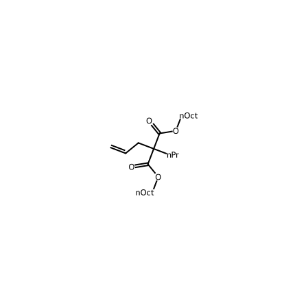 C=CCC(CCC)(C(=O)OCCCCCCCC)C(=O)OCCCCCCCC